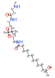 CNCCC(=O)NCCOC(C)(OCCNC(=O)CCCCCCCCCCC(C)=O)C(C)(C)C